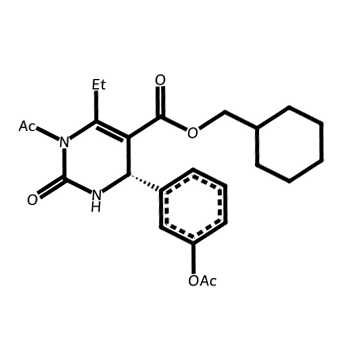 CCC1=C(C(=O)OCC2CCCCC2)[C@H](c2cccc(OC(C)=O)c2)NC(=O)N1C(C)=O